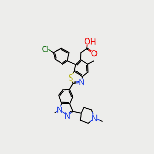 Cc1cc2nc(-c3ccc4c(c3)c(C3CCN(C)CC3)nn4C)sc2c(-c2ccc(Cl)cc2)c1CC(=O)O